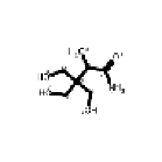 CC(C(N)=O)C(CO)(CO)CO